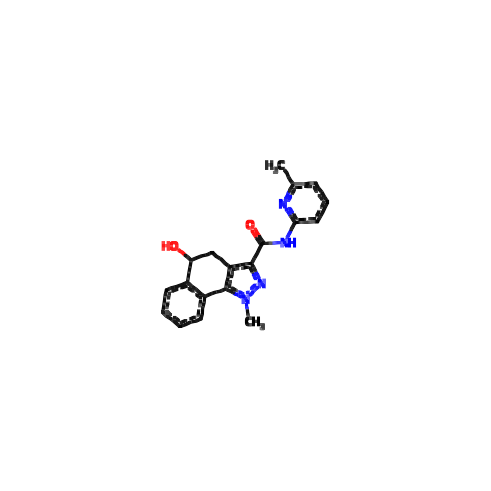 Cc1cccc(NC(=O)c2nn(C)c3c2CC(O)c2ccccc2-3)n1